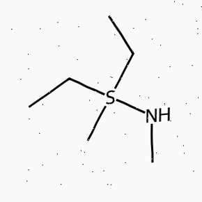 CCS(C)(CC)NC